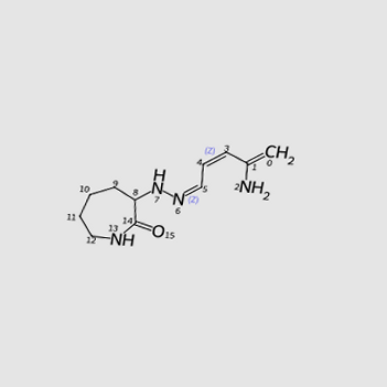 C=C(N)/C=C\C=N/NC1CCCCNC1=O